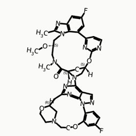 CO[C@H]1CN(C)C(=O)[C@@H]2C[C@@H](CN2c2nc3nc4c2cnn4-c2ccc(F)cc2OCCN2CCO[C@H](C3)C2)Oc2nccc(n2)-c2cc(F)cc3nc(C)n(c23)C1